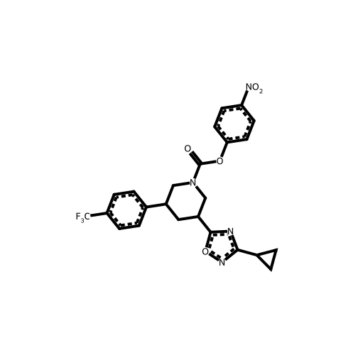 O=C(Oc1ccc([N+](=O)[O-])cc1)N1CC(c2ccc(C(F)(F)F)cc2)CC(c2nc(C3CC3)no2)C1